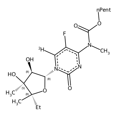 [2H]c1c(F)c(N(C)C(=O)OCCCCC)nc(=O)n1[C@@H]1O[C@](C)(CC)[C@@](C)(O)[C@H]1O